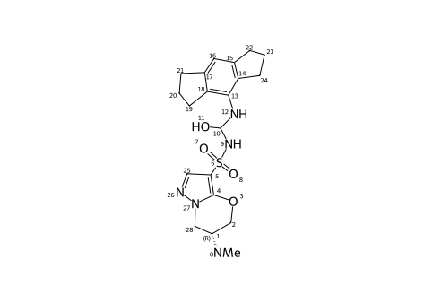 CN[C@H]1COc2c(S(=O)(=O)NC(O)Nc3c4c(cc5c3CCC5)CCC4)cnn2C1